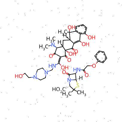 CC1(C)S[C@@H]2[C@H](NC(=O)COc3ccccc3)C(=O)N2[C@H]1C(=O)O.CN(C)[C@@H]1C(=O)/C(=C(/O)NCN2CCN(CCO)CC2)C(=O)[C@@]2(O)C(=O)C3=C(O)c4c(O)cccc4[C@@](C)(O)[C@H]3C[C@@H]12